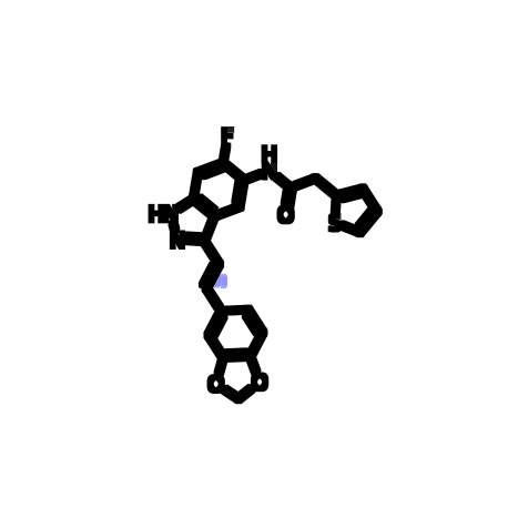 O=C(Cc1cccs1)Nc1cc2c(/C=C/c3ccc4c(c3)OCO4)n[nH]c2cc1F